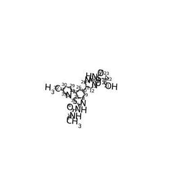 CCNC(=O)Nc1nc2cc(-c3cnc(NS(=O)(=O)C4(CO)CC4)nc3)cc(-c3ccc(C)cn3)c2s1